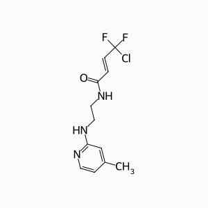 Cc1ccnc(NCCNC(=O)/C=C/C(F)(F)Cl)c1